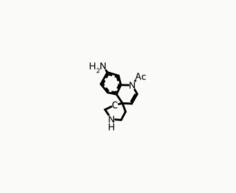 CC(=O)N1C=CC2(CCNCC2)c2ccc(N)cc21